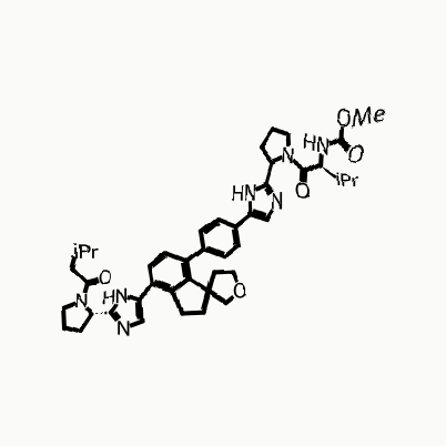 COC(=O)N[C@H](C(=O)N1CCCC1c1ncc(-c2ccc(-c3ccc(-c4cnc([C@@H]5CCCN5C(=O)CC(C)C)[nH]4)c4c3C3(CCOC3)CC4)cc2)[nH]1)C(C)C